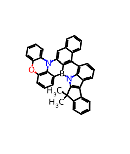 CC1(C)c2ccccc2-c2c1n1c3c(cccc23)-c2c3c(cc4ccccc24)N2c4ccccc4Oc4cccc(c42)B31